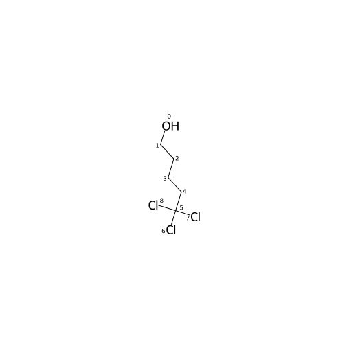 OCCCCC(Cl)(Cl)Cl